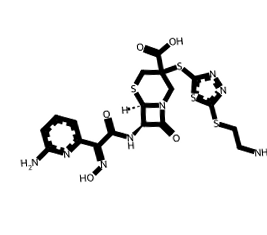 NCCSc1nnc(SC2(C(=O)O)CS[C@@H]3[C@H](NC(=O)C(=NO)c4cccc(N)n4)C(=O)N3C2)s1